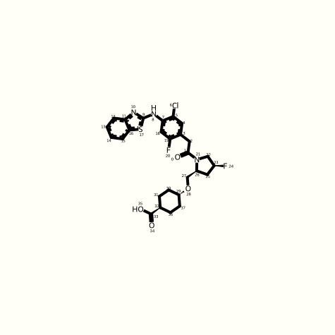 O=C(Cc1cc(Cl)c(Nc2nc3ccccc3s2)cc1F)N1C[C@@H](F)C[C@H]1CO[C@H]1CC[C@H](C(=O)O)CC1